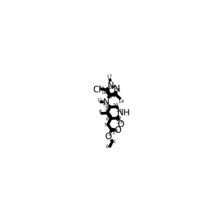 CCOC(=O)CC1=C(C)C(N(C)c2c(C)nn(C)c2Cl)CNC1=O